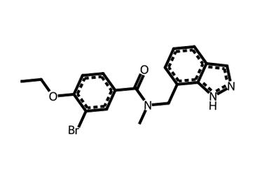 CCOc1ccc(C(=O)N(C)Cc2cccc3cn[nH]c23)cc1Br